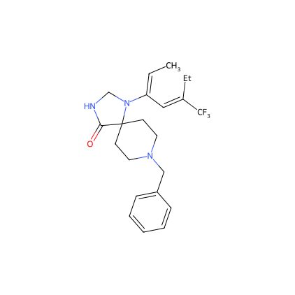 C/C=C(\C=C(/CC)C(F)(F)F)N1CNC(=O)C12CCN(Cc1ccccc1)CC2